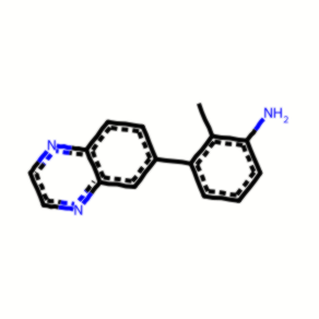 Cc1c(N)cccc1-c1ccc2nccnc2c1